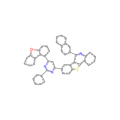 c1ccc(-c2nc(-c3ccc4sc5c6ccccc6nc(-c6ccc7ccccc7c6)c5c4c3)cc(-c3cccc4oc5ccccc5c34)n2)cc1